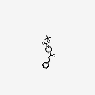 CC(C)(C)OC(=O)N1CCN(C(=O)CCc2ccccc2)CC1